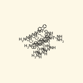 N=C(N)CCCC[C@H](NC(=O)[C@H](CCCNC(=N)N)NC(=O)[C@H](CCCCC(=N)N)NC(=O)[C@H](CCCNC(=N)N)NC(=O)[C@H](CCCCC(=N)N)NC(=O)[C@H](CCCNC(=N)N)NC(=O)[C@H](CCCCC(=N)N)NC(=O)OCC1c2ccccc2-c2ccccc21)C(N)=O